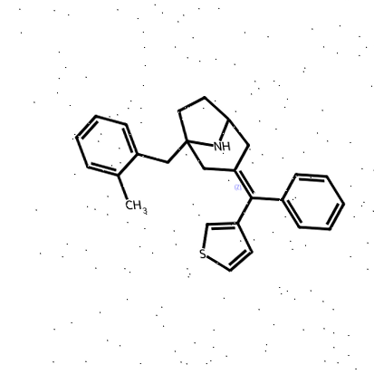 Cc1ccccc1CC12CCC(C/C(=C(\c3ccccc3)c3ccsc3)C1)N2